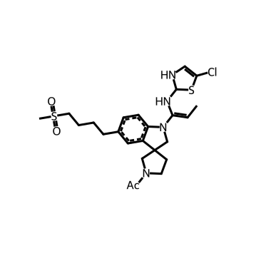 CC=C(NC1NC=C(Cl)S1)N1CC2(CCN(C(C)=O)C2)c2cc(CCCCS(C)(=O)=O)ccc21